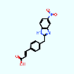 O=C(O)/C=C/c1ccc(Cc2nc3cc([N+](=O)[O-])ccc3[nH]2)cc1